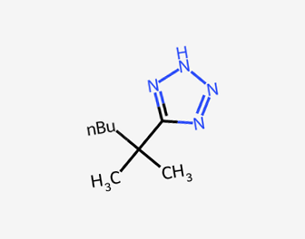 CCCCC(C)(C)c1nn[nH]n1